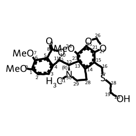 COc1ccc2c(c1OC)C(=O)O[C@@H]2[C@H]1c2c(c(CSCCO)c3c(c2OC)OCO3)CCN1C